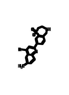 Cc1ccc2nc(-c3ccc4c(c3)S(=O)(=O)CCNC4)cc(Br)c2c1